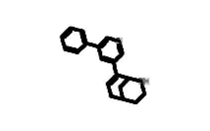 C1=C(c2cncc(-c3ccccc3)c2)C2CC(C1)CCN2